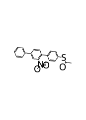 CC(=O)Sc1ccc(-c2ccc(-c3ccccc3)cc2[N+](=O)[O-])cc1